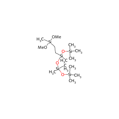 CO[Si](C)(CC[Si](C)(O[Si](C)(C)C)O[Si](C)(C)O[Si](C)(C)C)OC